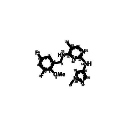 COc1c(F)cc(F)cc1CNc1nc(Nc2cnn(C)c2)ncc1C